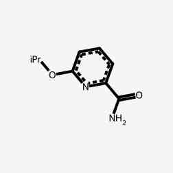 CC(C)Oc1cccc(C(N)=O)n1